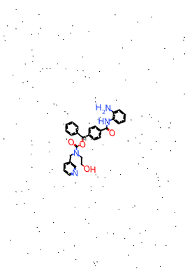 Nc1ccccc1NC(=O)c1ccc([C@@H](OC(=O)N(CCO)Cc2cccnc2)c2ccccc2)cc1